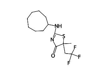 CC1(CC(F)(F)F)SC(NC2CCCCCCC2)=NC1=O